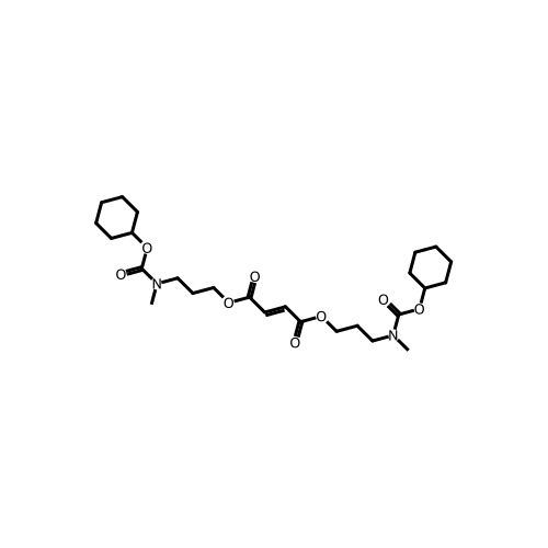 CN(CCCOC(=O)/C=C/C(=O)OCCCN(C)C(=O)OC1CCCCC1)C(=O)OC1CCCCC1